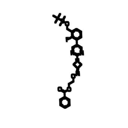 CC(C)(C)[Si](C)(C)OCc1cccc(-c2cnc(N3CC(=NOCCOC(=O)c4ccccc4)C3)nc2)c1F